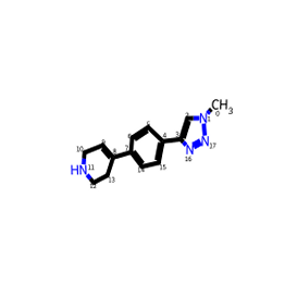 Cn1cc(-c2ccc(C3=CCNCC3)cc2)nn1